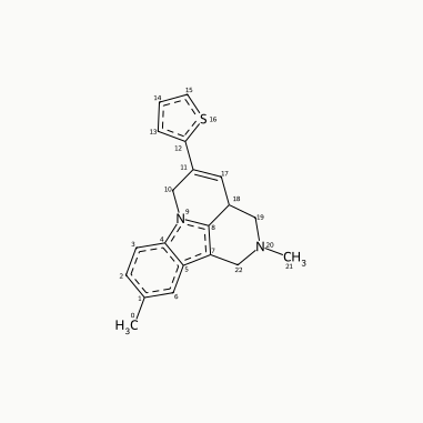 Cc1ccc2c(c1)c1c3n2CC(c2cccs2)=CC3CN(C)C1